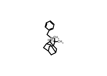 CC(C)(C)C12CC3CC(CC(C3)C1PCc1ccccc1)C2